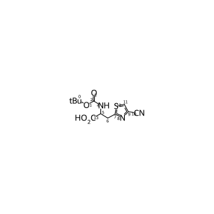 CC(C)(C)OC(=O)NC(Cc1nc(C#N)cs1)C(=O)O